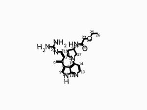 C=C(/C=C\N=C(N)N)c1c[nH]c2nccc(N3CC[C@H](NC(=O)COCC)C3)c12